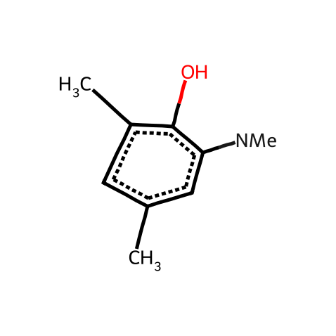 CNc1cc(C)cc(C)c1O